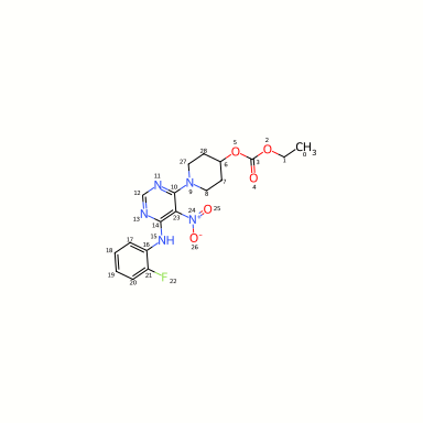 CCOC(=O)OC1CCN(c2ncnc(Nc3ccccc3F)c2[N+](=O)[O-])CC1